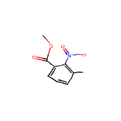 [CH2]c1cccc(C(=O)OC)c1[N+](=O)[O-]